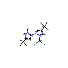 Cn1nc(C(C)(C)C)cc1-[n+]1cc(C(C)(C)C)cn1C(F)F